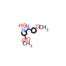 COC(=O)c1ccnc(/C(=N\O)c2cccc(OC)c2)c1